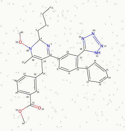 CCCCC1N=C(c2ccc(-c3ccccc3)c(-c3nnn[nH]3)c2)C(Cc2cccc(C(=O)OC)c2)=C(C)N1OC